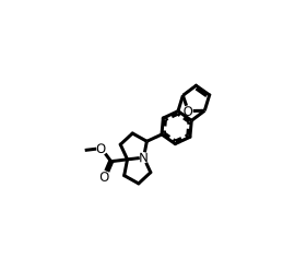 COC(=O)C12CCCN1C(c1ccc3c(c1)C1C=CC3O1)CC2